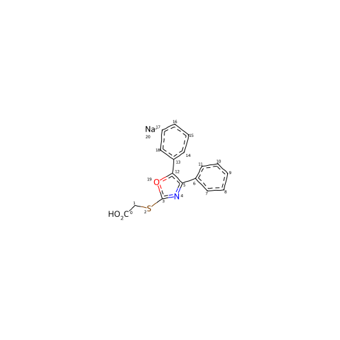 O=C(O)CSc1nc(-c2ccccc2)c(-c2ccccc2)o1.[Na]